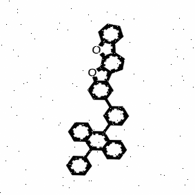 c1ccc(-c2c3ccccc3c(-c3cccc(-c4ccc5oc6c(ccc7c8ccccc8oc76)c5c4)c3)c3ccccc23)cc1